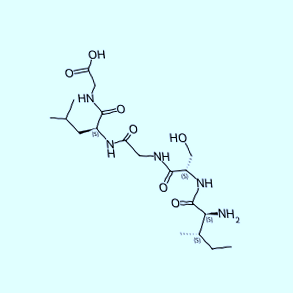 CC[C@H](C)[C@H](N)C(=O)N[C@@H](CO)C(=O)NCC(=O)N[C@@H](CC(C)C)C(=O)NCC(=O)O